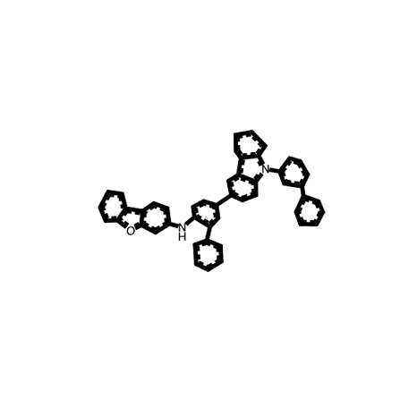 c1ccc(-c2cccc(-n3c4ccccc4c4cc(-c5ccc(Nc6ccc7c(c6)oc6ccccc67)c(-c6ccccc6)c5)ccc43)c2)cc1